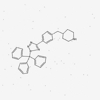 c1ccc(C(c2ccccc2)(c2ccccc2)n2nnc(-c3ccc(CC4CCNCC4)cc3)n2)cc1